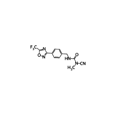 CN(C#N)C(=O)NCc1ccc(-c2noc(C(F)(F)F)n2)cc1